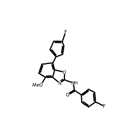 COc1ccc(-c2ccc(F)cc2)c2oc(NC(=O)c3ccc(F)cc3)nc12